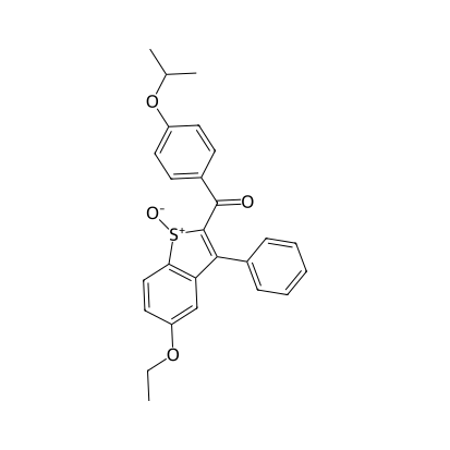 CCOc1ccc2c(c1)c(-c1ccccc1)c(C(=O)c1ccc(OC(C)C)cc1)[s+]2[O-]